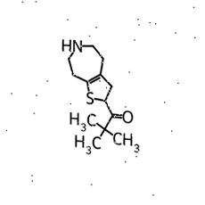 CC(C)(C)C(=O)C1CC2=C(CCNCC2)S1